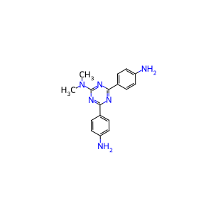 CN(C)c1nc(-c2ccc(N)cc2)nc(-c2ccc(N)cc2)n1